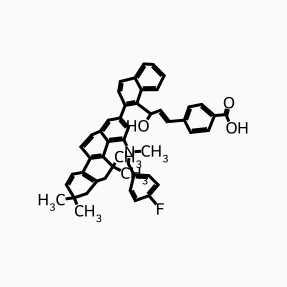 CN(Cc1ccc(F)cc1)c1cc(-c2ccc3ccccc3c2C(O)C=Cc2ccc(C(=O)O)cc2)cc2ccc3c(c12)C(C)(C)CC1=C3C=CC(C)(C)C1